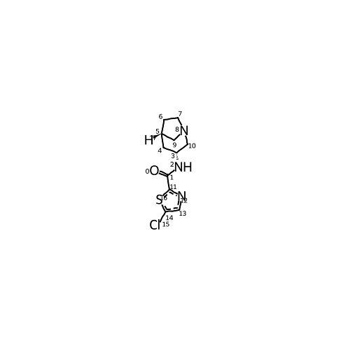 O=C(N[C@@H]1C[C@@H]2CCN(C2)C1)c1ncc(Cl)s1